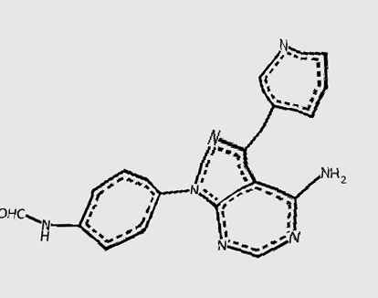 Nc1ncnc2c1c(-c1cccnc1)nn2-c1ccc(NC=O)cc1